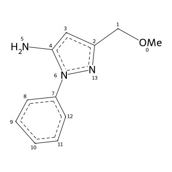 COCc1cc(N)n(-c2ccccc2)n1